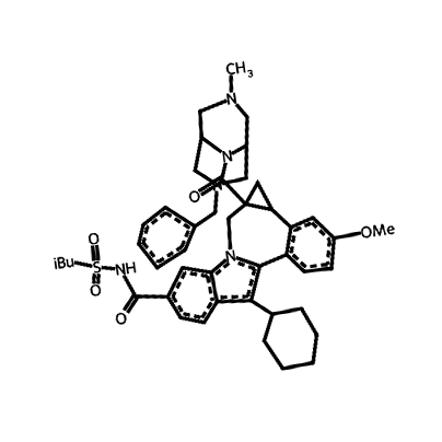 CCC(C)S(=O)(=O)NC(=O)c1ccc2c(C3CCCCC3)c3n(c2c1)CC1(C(=O)N2C4CN(C)CC2CN(Cc2ccccc2)C4)CC1c1cc(OC)ccc1-3